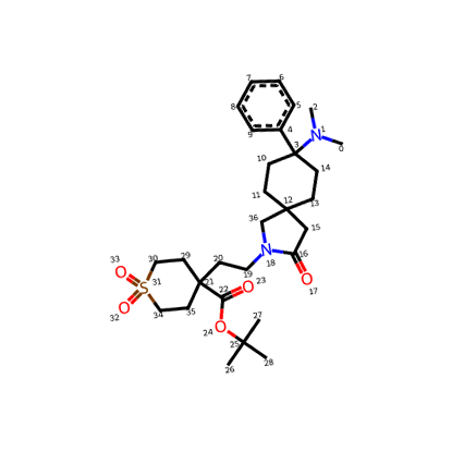 CN(C)C1(c2ccccc2)CCC2(CC1)CC(=O)N(CCC1(C(=O)OC(C)(C)C)CCS(=O)(=O)CC1)C2